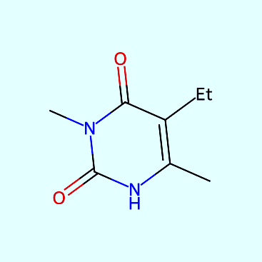 CCc1c(C)[nH]c(=O)n(C)c1=O